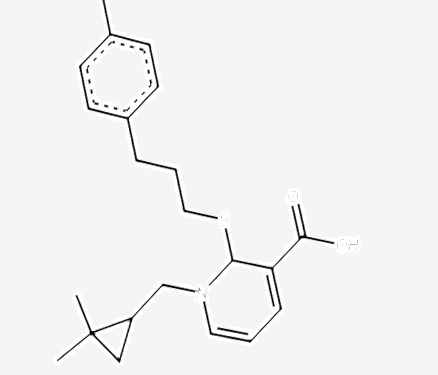 CC1(C)CC1CN1C=CC=C(C(=O)O)C1SCCCc1ccc(F)cc1